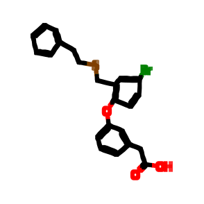 O=C(O)Cc1cccc(Oc2ccc(Br)cc2CSCCc2ccccc2)c1